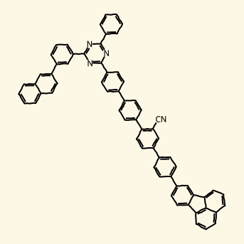 N#Cc1cc(-c2ccc(-c3ccc4c(c3)-c3cccc5cccc-4c35)cc2)ccc1-c1ccc(-c2ccc(-c3nc(-c4ccccc4)nc(-c4cccc(-c5ccc6ccccc6c5)c4)n3)cc2)cc1